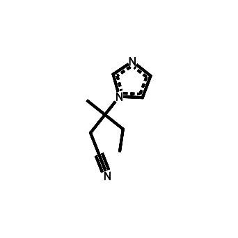 CCC(C)(CC#N)n1ccnc1